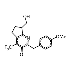 COc1ccc(Cn2nc3c(c(C(F)(F)F)c2=O)CCC3CO)cc1